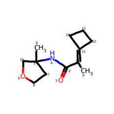 CC(C(=O)NC1(C)CCOC1)=C1CCC1